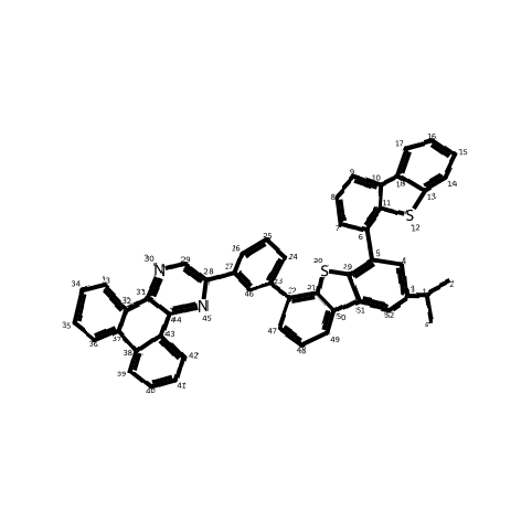 CC(C)c1cc(-c2cccc3c2sc2ccccc23)c2sc3c(-c4cccc(-c5cnc6c7ccccc7c7ccccc7c6n5)c4)cccc3c2c1